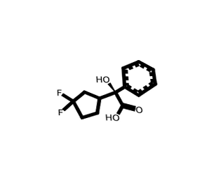 O=C(O)[C@@](O)(c1ccccc1)C1CCC(F)(F)C1